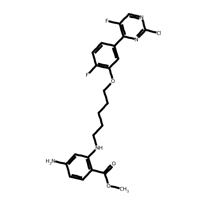 COC(=O)c1ccc(N)cc1NCCCCCOc1cc(-c2nc(Cl)ncc2F)ccc1F